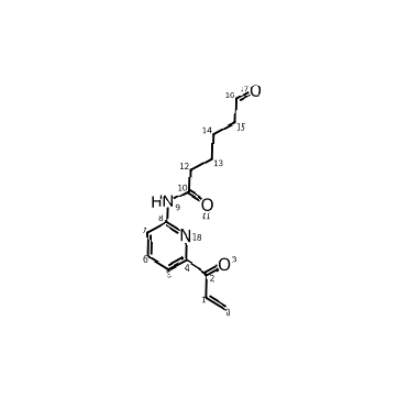 C=CC(=O)c1cccc(NC(=O)CCCCC=O)n1